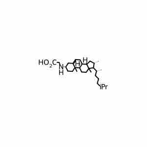 CC(C)CCC[C@@H](C)C1[C@@H](C)C[C@H]2[C@@H]3CC=C4C[C@@H](NCC(=O)O)CCC4(C)C3CCC12C